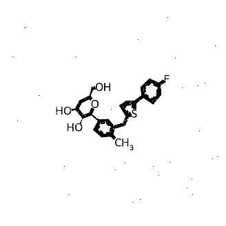 Cc1ccc([C@@H]2O[C@H](CO)C[C@H](O)[C@H]2O)cc1Cc1ccc(-c2ccc(F)cc2)s1